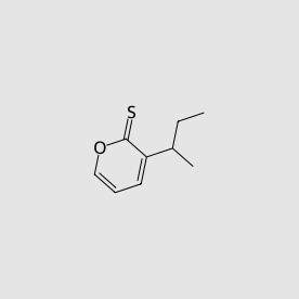 CCC(C)c1cccoc1=S